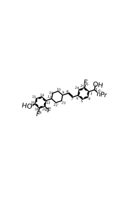 CCCC(O)c1ccc(/C=C/C2CCC(c3ccc(O)c(F)c3F)CC2)cc1F